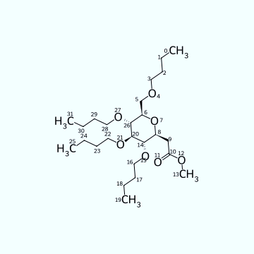 CCCCOC[C@H]1O[C@@H](CC(=O)OC)[C@H](OCCCC)[C@@H](OCCCC)[C@@H]1OCCCC